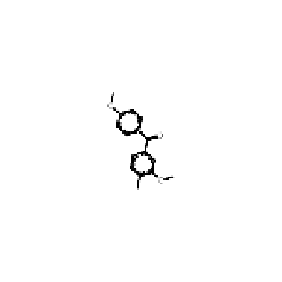 COc1ccc(C(=O)c2ccc(C)c(OC)c2)cc1